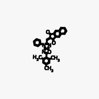 Cc1cc(C)c(-c2nc3c(nc(C=C4C(=O)c5cc6ccccc6cc5C4=O)n3-c3ccccc3)o2)c(C)c1